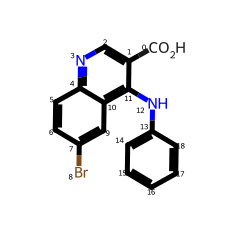 O=C(O)c1cnc2ccc(Br)cc2c1Nc1ccccc1